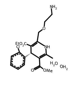 CCOC(=O)C1=C(COCCN)NC(C)=C(C(=O)OC)[C@@H]1c1ccccc1Cl.O.O